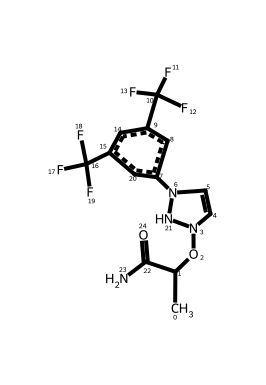 CC(ON1C=CN(c2cc(C(F)(F)F)cc(C(F)(F)F)c2)N1)C(N)=O